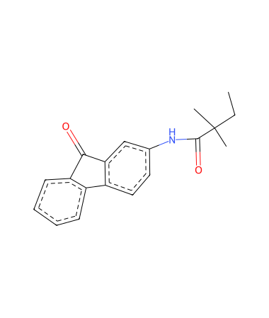 CCC(C)(C)C(=O)Nc1ccc2c(c1)C(=O)c1ccccc1-2